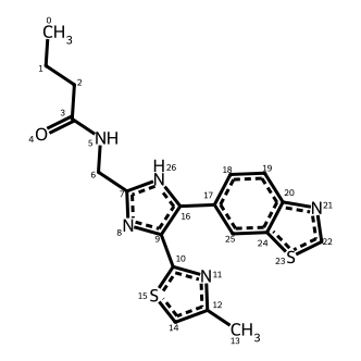 CCCC(=O)NCc1nc(-c2nc(C)cs2)c(-c2ccc3ncsc3c2)[nH]1